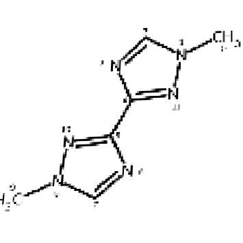 Cn1cnc(-c2ncn(C)n2)n1